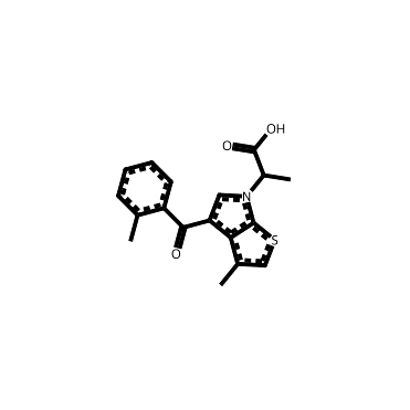 Cc1ccccc1C(=O)c1cn(C(C)C(=O)O)c2scc(C)c12